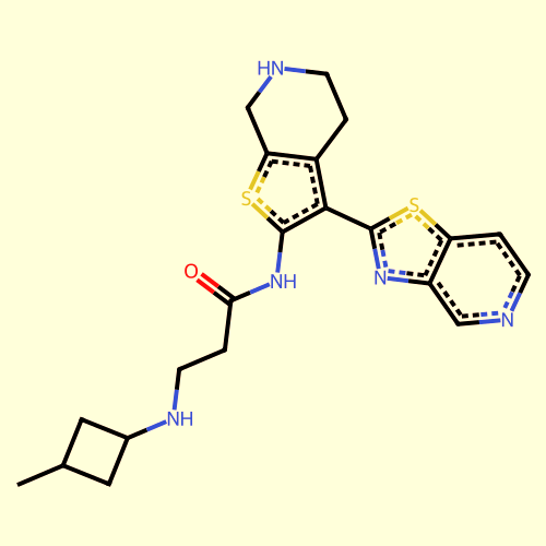 CC1CC(NCCC(=O)Nc2sc3c(c2-c2nc4cnccc4s2)CCNC3)C1